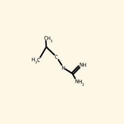 CC(C)C[N]C(=N)N